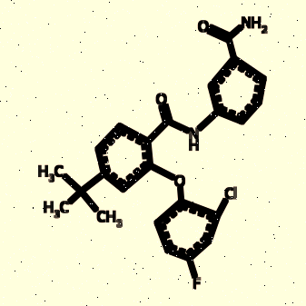 CC(C)(C)c1ccc(C(=O)Nc2cccc(C(N)=O)c2)c(Oc2ccc(F)cc2Cl)c1